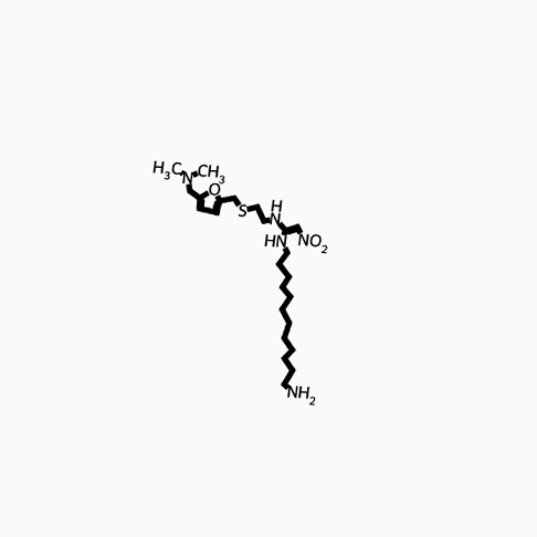 CN(C)Cc1ccc(CSCCNC(=C[N+](=O)[O-])NCCCCCCCCCCCCN)o1